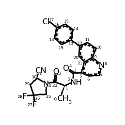 C[C@H](NC(=O)c1ccnc2ccc(-c3ccc(Cl)cc3)cc12)C(=O)N1CC(F)(F)C[C@H]1C#N